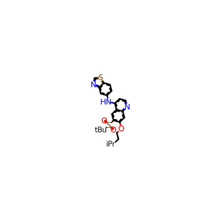 CC(C)CCOc1cc2nccc(Nc3ccc4scnc4c3)c2cc1S(=O)(=O)C(C)(C)C